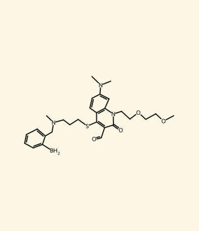 Bc1ccccc1CN(C)CCCSc1c(C=O)c(=O)n(CCOCCOC)c2cc(N(C)C)ccc12